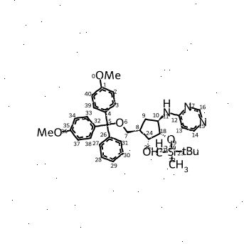 COc1ccc(C(OC[C@H]2C[C@@H](Nc3ccncn3)[C@H](O[Si](C)(C)C(C)(C)C)[C@@H]2O)(c2ccccc2)c2ccc(OC)cc2)cc1